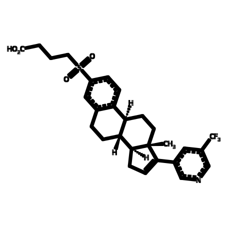 C[C@]12CC[C@@H]3c4ccc(S(=O)(=O)CCCC(=O)O)cc4CC[C@H]3[C@@H]1CC=C2c1cncc(C(F)(F)F)c1